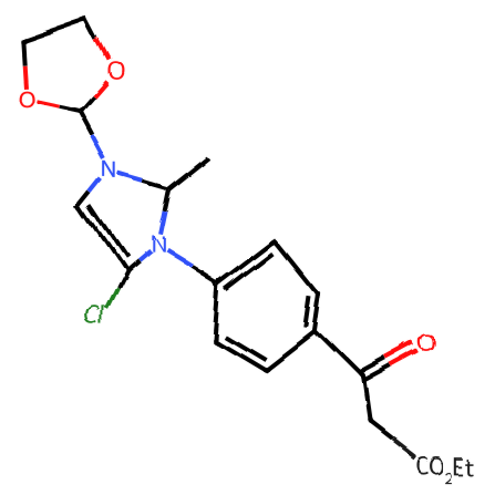 CCOC(=O)CC(=O)c1ccc(N2C(Cl)=CN(C3OCCO3)C2C)cc1